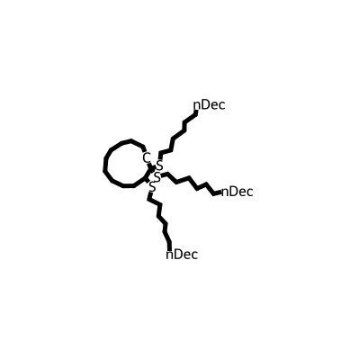 CCCCCCCCCCCCCCCCSC1CCCCCCCCCCC1(SCCCCCCCCCCCCCCCC)SCCCCCCCCCCCCCCCC